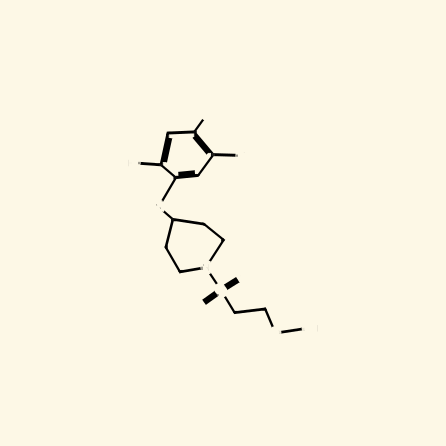 COCCS(=O)(=O)N1CCC(Nc2cc(Cl)c(Cl)cc2O)CC1